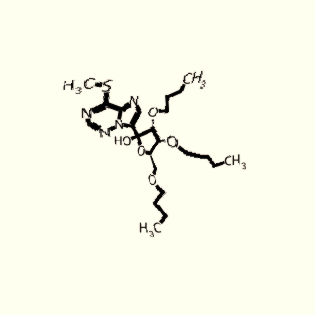 CCCCOC[C@H]1OC(O)(c2cnc3c(SC)ncnn23)[C@H](OCCCC)[C@@H]1OCCCC